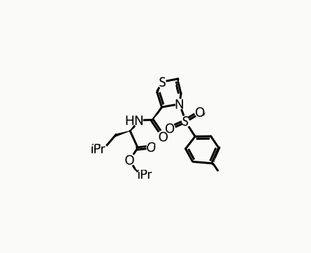 Cc1ccc(S(=O)(=O)N2C=CSC=C2C(=O)N[C@H](CC(C)C)C(=O)OC(C)C)cc1